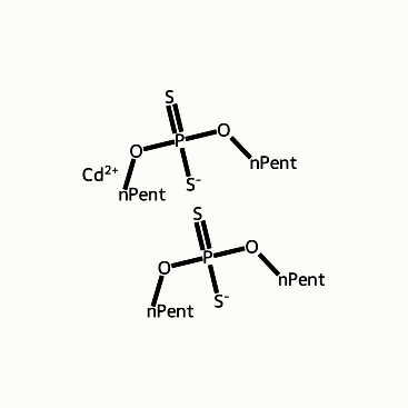 CCCCCOP(=S)([S-])OCCCCC.CCCCCOP(=S)([S-])OCCCCC.[Cd+2]